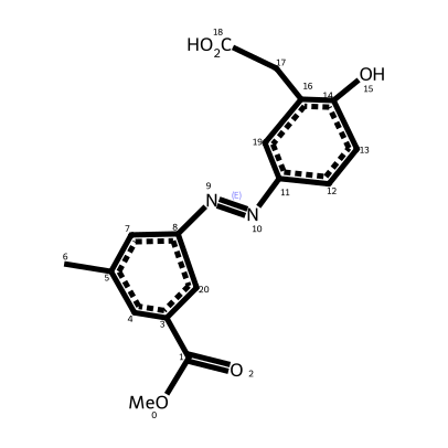 COC(=O)c1cc(C)cc(/N=N/c2ccc(O)c(CC(=O)O)c2)c1